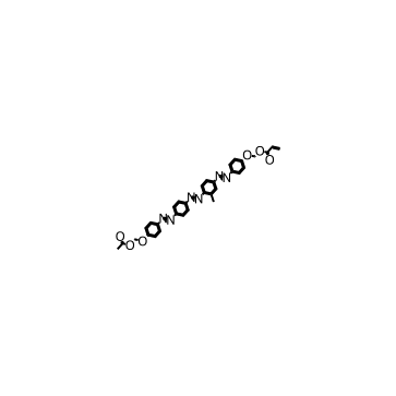 C=CC(=O)OCOc1ccc(N=Nc2ccc(N=Nc3ccc(N=Nc4ccc(OCOC(C)=O)cc4)cc3)c(C)c2)cc1